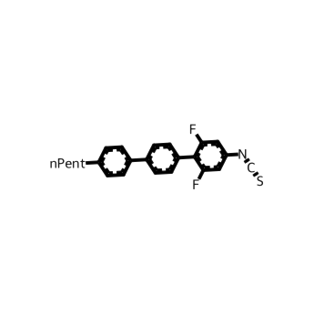 CCCCCc1ccc(-c2ccc(-c3c(F)cc(N=C=S)cc3F)cc2)cc1